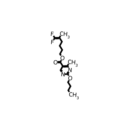 CCCCOc1ncc(C(=O)OCCCCC(C)=C(F)F)c(C)n1